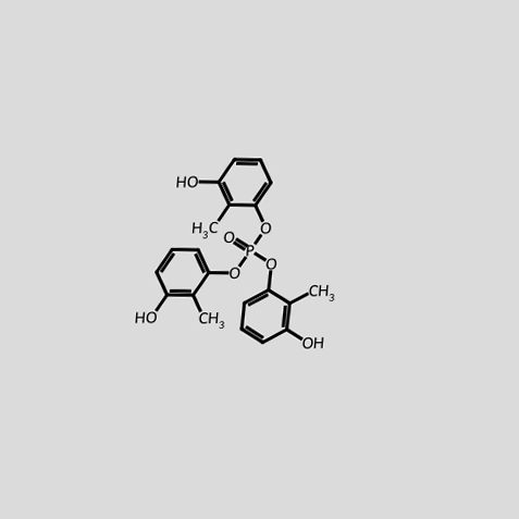 Cc1c(O)cccc1OP(=O)(Oc1cccc(O)c1C)Oc1cccc(O)c1C